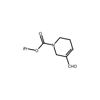 CC(C)OC(=O)N1CCC=C(C=O)C1